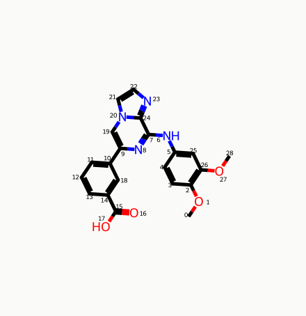 COc1ccc(Nc2nc(-c3cccc(C(=O)O)c3)cn3ccnc23)cc1OC